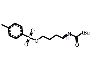 Cc1ccc(S(=O)(=O)OCCC/C=N/C(=O)C(C)(C)C)cc1